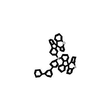 c1ccc(-c2cccc(-c3ccc(N(c4ccc5c(c4)C4(c6ccccc6Oc6ccccc64)c4ccccc4-5)c4cccc5c4-c4ccccc4C54c5ccccc5Sc5ccccc54)cc3)c2)cc1